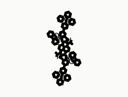 CC(C)c1cc(N(c2ccc(-c3ccc([Si](c4ccccc4)(c4ccccc4)c4ccccc4)cc3)cc2C#N)c2cccc3c2oc2ccccc23)c2ccc3c(C(C)C)cc(N(c4ccc(-c5ccc([Si](c6ccccc6)(c6ccccc6)c6ccccc6)cc5)cc4C#N)c4cccc5c4oc4ccccc45)c4ccc1c2c34